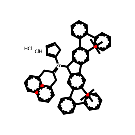 CC(C)(C)c1cc2c(cc1-c1ccccc1-c1ccccc1)[CH]([Zr]([C]1=CC=CC1)=[C](Cc1ccccc1)Cc1ccccc1)c1cc(-c3ccccc3-c3ccccc3)c(C(C)(C)C)cc1-2.Cl.Cl